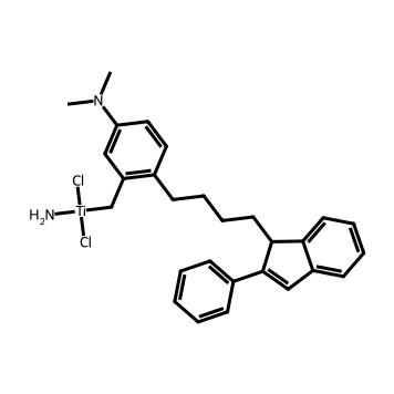 CN(C)c1ccc(CCCCC2C(c3ccccc3)=Cc3ccccc32)c([CH2][Ti]([NH2])([Cl])[Cl])c1